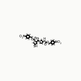 O=C(N[C@@H]1CCN(C(=O)C2CC(S)CN2C(=O)OCc2ccc([N+](=O)[O-])cc2)C1)OCc1ccc([N+](=O)[O-])cc1